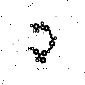 CC/C(=C(\c1ccc(O)cc1)c1ccc(OCCN2CCN(C(=O)CCCCc3ccc4c(c3)CN(C3CCC(=O)NC3=O)C4=O)CC2)cc1)c1ccccc1